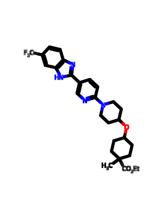 CCOC(=O)C1(C)CCC(OC2CCN(c3ccc(-c4nc5ccc(C(F)(F)F)cc5[nH]4)cn3)CC2)CC1